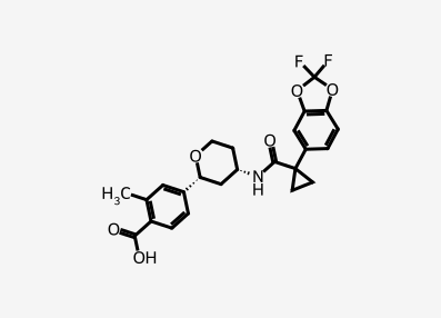 Cc1cc([C@H]2C[C@@H](NC(=O)C3(c4ccc5c(c4)OC(F)(F)O5)CC3)CCO2)ccc1C(=O)O